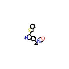 CN1Cc2cc(C3(N4CCOCC4)CC3)ccc2C(c2cc3ccccc3s2)C1